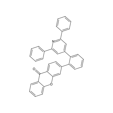 O=c1c2ccccc2oc2cc(-c3ccccc3-c3cc(-c4ccccc4)nc(-c4ccccc4)c3)ccc12